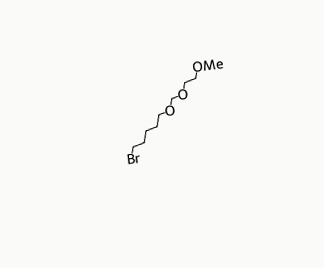 COCCOCOCCCCCBr